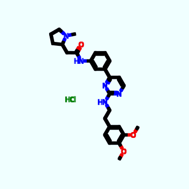 COc1ccc(CCNc2nccc(-c3cccc(NC(=O)CC4CCCN4C)c3)n2)cc1OC.Cl